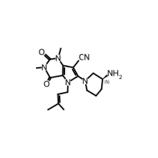 CC(C)=CCn1c(N2CCC[C@H](N)C2)c(C#N)c2c1c(=O)n(C)c(=O)n2C